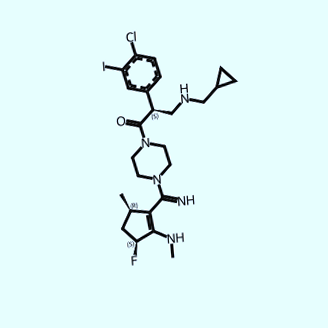 CNC1=C(C(=N)N2CCN(C(=O)[C@H](CNCC3CC3)c3ccc(Cl)c(I)c3)CC2)[C@H](C)C[C@@H]1F